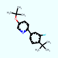 CC(C)(C)Oc1ccc(-c2ccc(C(C)(C)C)c(F)c2)nc1